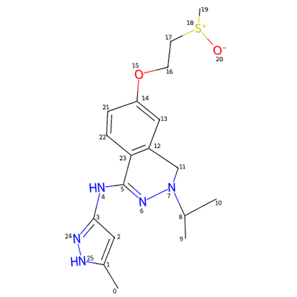 Cc1cc(NC2=NN(C(C)C)Cc3cc(OCC[S+](C)[O-])ccc32)n[nH]1